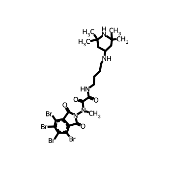 CN(C(=O)C(=O)NCCCCNC1CC(C)(C)NC(C)(C)C1)N1C(=O)c2c(Br)c(Br)c(Br)c(Br)c2C1=O